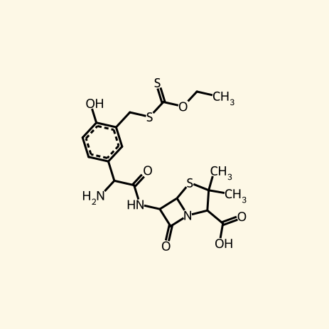 CCOC(=S)SCc1cc(C(N)C(=O)NC2C(=O)N3C2SC(C)(C)C3C(=O)O)ccc1O